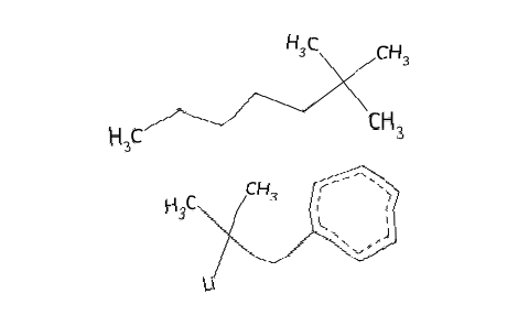 CCCCCC(C)(C)C.[Li][C](C)(C)Cc1ccccc1